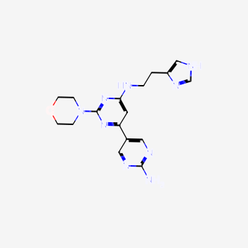 Nc1ncc(-c2cc(NCCc3c[nH]cn3)nc(N3CCOCC3)n2)cn1